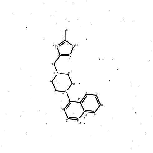 Cc1nc(CN2CCN(c3ccnc4ccccc34)CC2)no1